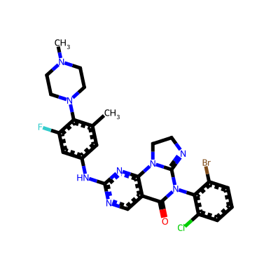 Cc1cc(Nc2ncc3c(n2)N2CCN=C2N(c2c(Cl)cccc2Br)C3=O)cc(F)c1N1CCN(C)CC1